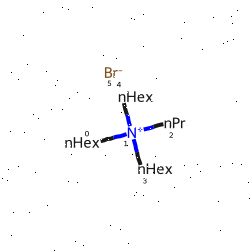 CCCCCC[N+](CCC)(CCCCCC)CCCCCC.[Br-]